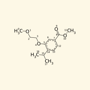 COCCOc1cc(C(=O)OC)ccc1C(C)C